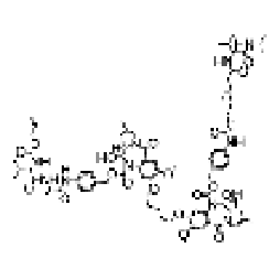 C=CCOC(=O)NC(C(=O)NC(C)C(=O)Nc1ccc(COC(=O)N2c3cc(OCCCCCOc4cc5c(cc4OC)C(=O)N4C=C(C)C[C@@H]4[C@@H](O)N5C(=O)OCc4ccc(NC(=O)OCCOCCC(=O)N[C@@H](C(=O)NC(C)C)C(C)C)cc4)c(OC)cc3C(=O)N3C=C(C)C[C@H]3[C@@H]2O)cc1)C(C)C